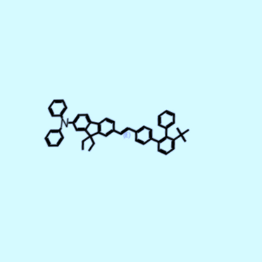 CCC1(CC)c2cc(/C=C/c3ccc(-c4cccc(C(C)(C)C)c4-c4ccccc4)cc3)ccc2-c2ccc(N(c3ccccc3)c3ccccc3)cc21